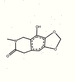 CN1Cc2c(cc3c(c2O)OCO3)CC1=O